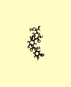 C=CC(O)C1CN(C)C(=O)c2c3c(nn2C1)CC(C)N(C(=O)Nc1ccc(F)c(Br)c1)C3